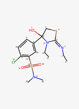 CCN=C1SCC(O)(c2ccc(Cl)c(S(=O)(=O)N(C)C)c2)N1CC